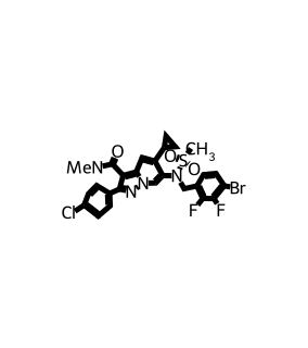 CNC(=O)c1c(-c2ccc(Cl)cc2)nn2cc(N(Cc3ccc(Br)c(F)c3F)S(C)(=O)=O)c(C3CC3)cc12